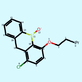 CC(C)CCOc1ccc(Cl)c2c1[S+]([O-])c1ccccc1C2